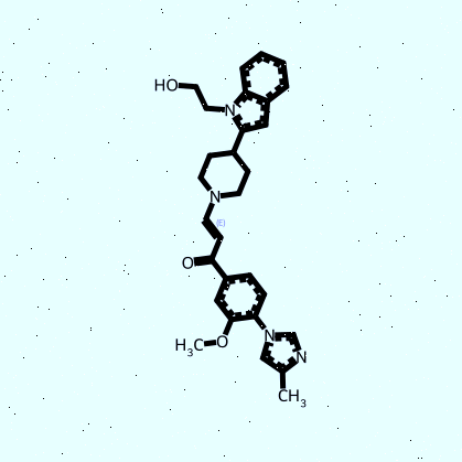 COc1cc(C(=O)/C=C/N2CCC(c3cc4ccccc4n3CCO)CC2)ccc1-n1cnc(C)c1